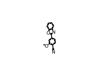 COc1cc(-c2nc3ccccc3o2)ccc1C#N